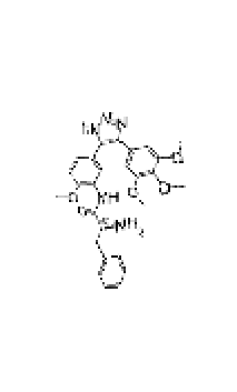 COc1ccc(-c2[nH]nnc2-c2cc(OC)c(OC)c(OC)c2)cc1NC(=O)[C@@H](N)Cc1ccccc1